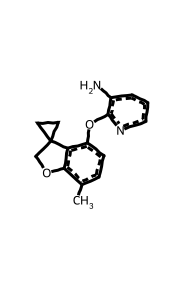 Cc1ccc(Oc2ncccc2N)c2c1OCC21CC1